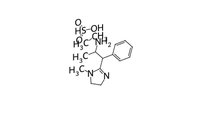 CC.CC(N)C(C1=NCCN1C)c1ccccc1.O=[SH](=O)O